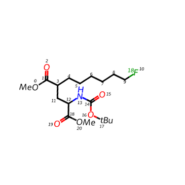 COC(=O)C(CCCCCC[18F])CC(NC(=O)OC(C)(C)C)C(=O)OC